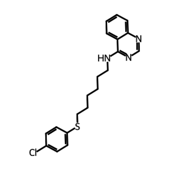 Clc1ccc(SCCCCCCNc2ncnc3ccccc23)cc1